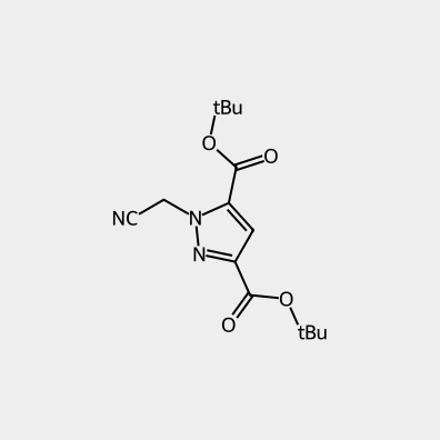 CC(C)(C)OC(=O)c1cc(C(=O)OC(C)(C)C)n(CC#N)n1